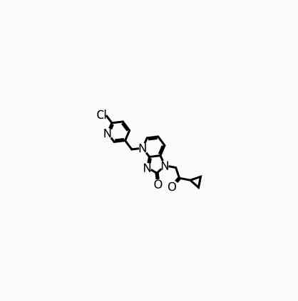 O=C(Cn1c2cccn(Cc3ccc(Cl)nc3)c-2nc1=O)C1CC1